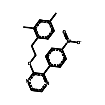 Cc1ccc(CCOc2nccnc2-c2ccc([N+](=O)[O-])cc2)c(C)c1